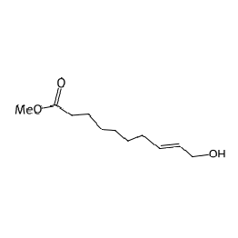 COC(=O)CCCCCCC=CCO